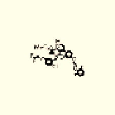 COCOC[C@H]1NCCC(c2ccc(OCCOc3c(C)cccc3C)cc2)=C1C(=O)N(Cc1cc(CNCC(F)F)ccc1Cl)C1CC1